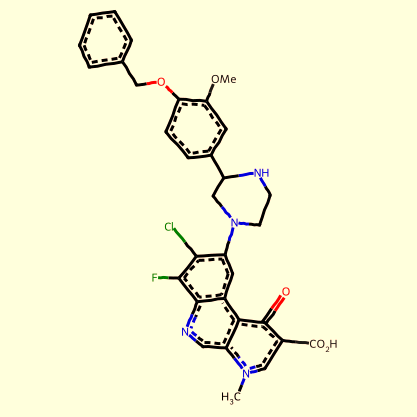 COc1cc(C2CN(c3cc4c(ncc5c4c(=O)c(C(=O)O)cn5C)c(F)c3Cl)CCN2)ccc1OCc1ccccc1